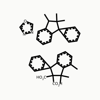 CC1c2ccccc2C2(c3ccccc32)C1(C)C.Cc1cccc2c1C(C)(C)C(C(=O)O)(C(=O)O)C21c2ccccc21.c1nnco1